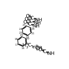 C.CCCCC.N=C=O.N=C=O.N=C=O.N=C=O.c1ccccc1.c1ccccc1